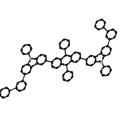 c1ccc(-c2cccc(-c3ccc4c(c3)c3cc(-c5ccc6c(-c7ccccc7)c7cc(-c8ccc9c(c8)c8cc(-c%10cccc(-c%11ccccc%11)c%10)ccc8n9-c8ccccc8)ccc7c(-c7ccccc7)c6c5)ccc3n4-c3ccccc3)c2)cc1